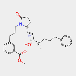 COC(=O)c1cccc(CCCN2C(=O)CC[C@@H]2/C=C/[C@@H](O)[C@@H](C)CCCc2ccccc2)c1